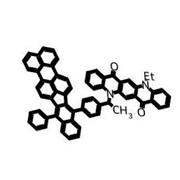 CCn1c2ccccc2c(=O)c2cc3c(cc21)c(=O)c1ccccc1n3C(C)c1ccc(-c2c3c(c(-c4ccccc4)c4ccccc24)-c2ccc4c5cccc6cccc(c7ccc-3c2c47)c65)cc1